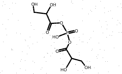 O=C(OP(=O)(O)OC(=O)C(O)CO)C(O)CO